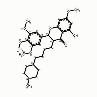 COc1cc(O)c2c(c1)OC(c1cc(OC)c(OC)c(OC)c1)C(CCCCC1CCN(C)CC1)C2=O